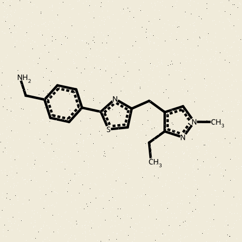 CCc1nn(C)cc1Cc1csc(-c2ccc(CN)cc2)n1